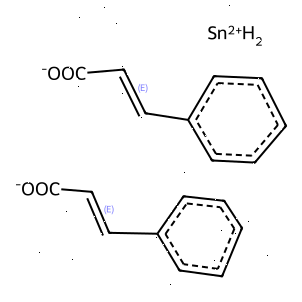 O=C([O-])/C=C/c1ccccc1.O=C([O-])/C=C/c1ccccc1.[SnH2+2]